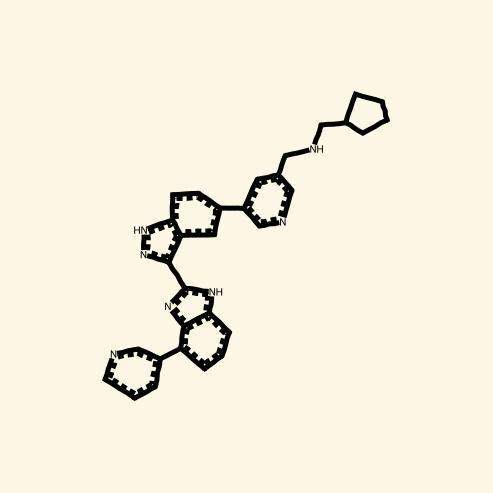 c1cncc(-c2cccc3[nH]c(-c4n[nH]c5ccc(-c6cncc(CNCC7CCCC7)c6)cc45)nc23)c1